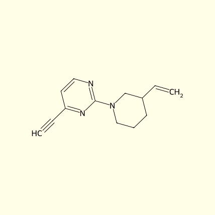 C#Cc1ccnc(N2CCCC(C=C)C2)n1